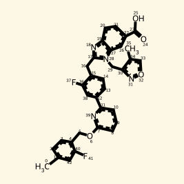 Cc1ccc(COc2cccc(-c3ccc(Cc4nc5ccc(C(=O)O)cc5n4Cc4nocc4C)c(F)c3)n2)c(F)c1